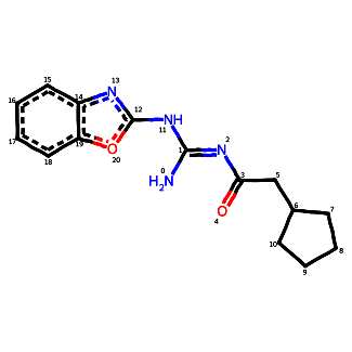 N/C(=N\C(=O)CC1CCCC1)Nc1nc2ccccc2o1